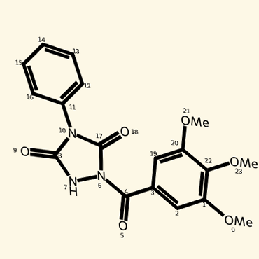 COc1cc(C(=O)n2[nH]c(=O)n(-c3ccccc3)c2=O)cc(OC)c1OC